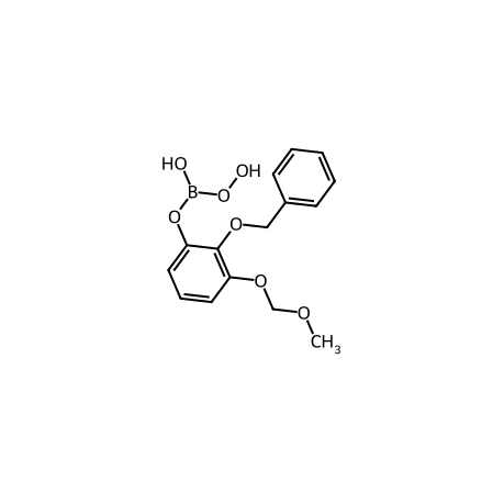 COCOc1cccc(OB(O)OO)c1OCc1ccccc1